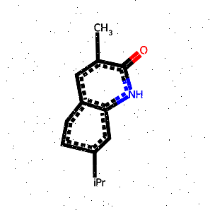 Cc1cc2ccc(C(C)C)cc2[nH]c1=O